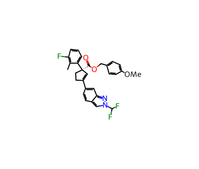 COc1ccc(COC(=O)[C@]2(c3cccc(F)c3C)C=C(c3ccc4cn(C(F)F)nc4c3)CC2)cc1